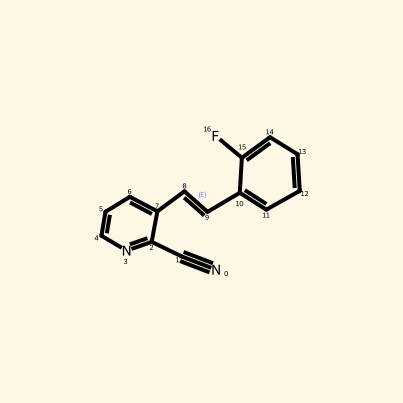 N#Cc1ncccc1/C=C/c1ccccc1F